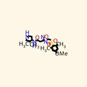 COc1cc(C)c(S(=O)(=O)Cc2nc(CC(=O)NC3CCNCC3(C)C)no2)c(C)c1